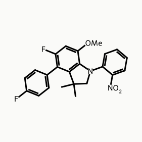 COc1cc(F)c(-c2ccc(F)cc2)c2c1N(c1ccccc1[N+](=O)[O-])CC2(C)C